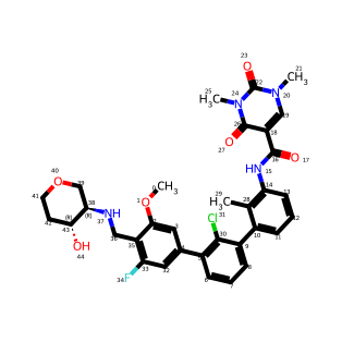 COc1cc(-c2cccc(-c3cccc(NC(=O)c4cn(C)c(=O)n(C)c4=O)c3C)c2Cl)cc(F)c1CN[C@@H]1COCC[C@H]1O